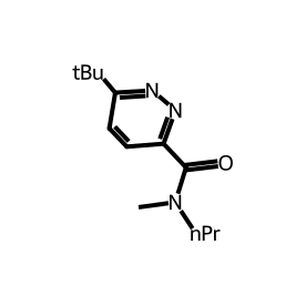 CCCN(C)C(=O)c1ccc(C(C)(C)C)nn1